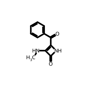 CNC1=C(C(=O)c2ccccc2)NC1=O